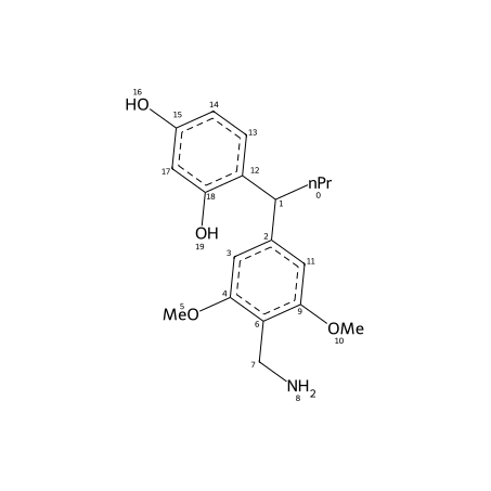 CCCC(c1cc(OC)c(CN)c(OC)c1)c1ccc(O)cc1O